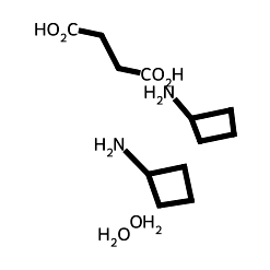 NC1CCC1.NC1CCC1.O.O.O=C(O)CCC(=O)O